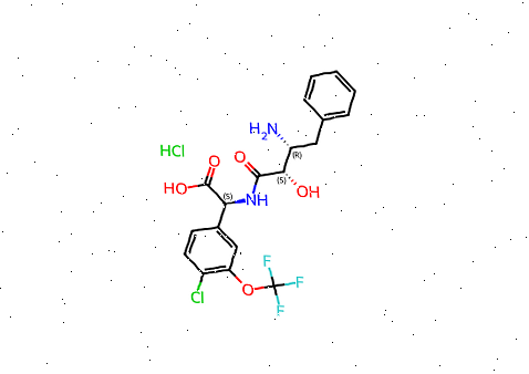 Cl.N[C@H](Cc1ccccc1)[C@H](O)C(=O)N[C@H](C(=O)O)c1ccc(Cl)c(OC(F)(F)F)c1